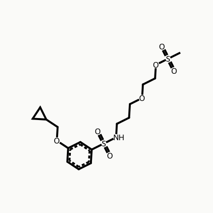 CS(=O)(=O)OCCOCCCNS(=O)(=O)c1cccc(OCC2CC2)c1